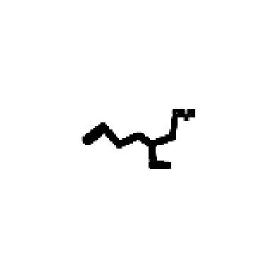 C=CCCC(CC(=O)O)OC